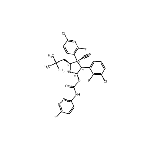 CC(C)(C)C[C@@H]1N[C@H](OC(=O)Nc2ccc(Cl)nn2)[C@H](c2cccc(Cl)c2F)[C@@]1(C#N)c1ccc(Cl)cc1F